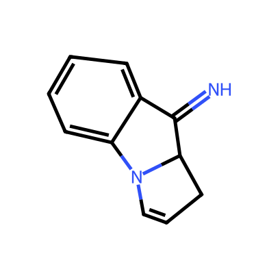 N=C1c2ccccc2N2C=CCC12